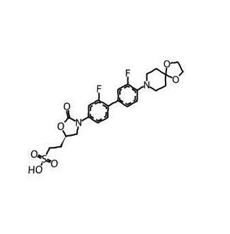 O=C1O[C@H](CCS(=O)(=O)O)CN1c1ccc(-c2ccc(N3CCC4(CC3)OCCO4)c(F)c2)c(F)c1